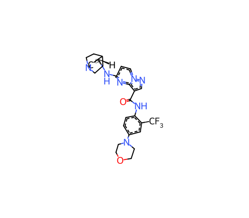 O=C(Nc1ccc(N2CCOCC2)cc1C(F)(F)F)c1cnn2ccc(N[C@@H]3CN4CCC3CC4)nc12